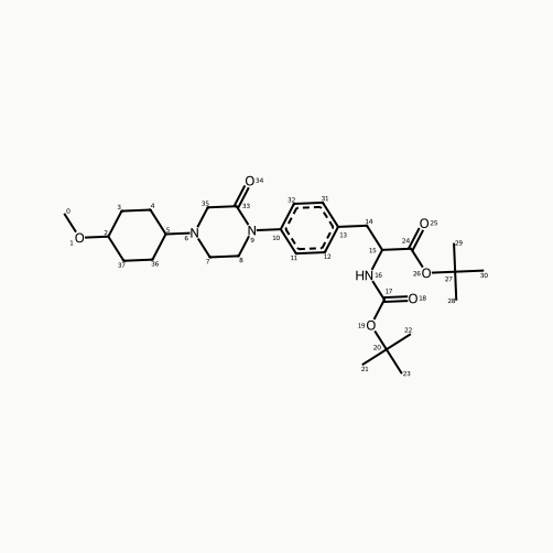 COC1CCC(N2CCN(c3ccc(CC(NC(=O)OC(C)(C)C)C(=O)OC(C)(C)C)cc3)C(=O)C2)CC1